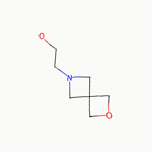 [O]CCN1CC2(COC2)C1